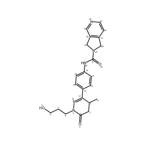 CC1CC(=O)N(CCCO)N=C1c1ccc(NC(=O)N2Cc3ccncc3C2)cc1